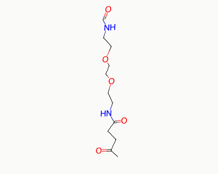 CC(=O)CCC(=O)NCCOCCOCCNC=O